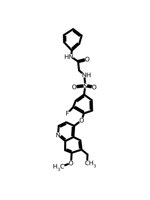 CCc1cc2c(Oc3ccc(S(=O)(=O)NCC(=O)Nc4ccccc4)cc3F)ccnc2cc1OC